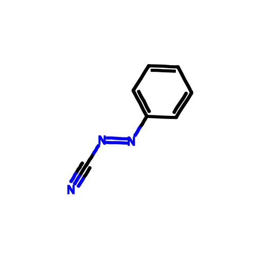 N#CN=Nc1ccccc1